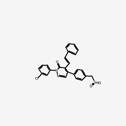 O=c1c(C=Cc2ccccc2)c(-c2ccc(C[SH](=O)=O)cc2)cnn1-c1cccc(Cl)c1